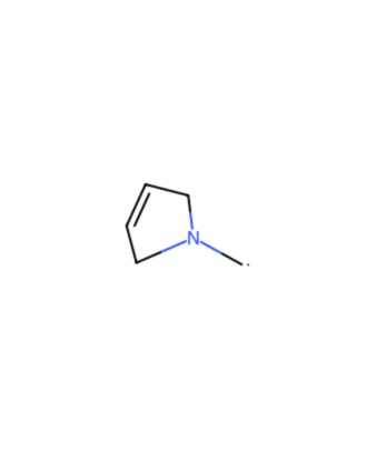 [CH2]N1CC=CC1